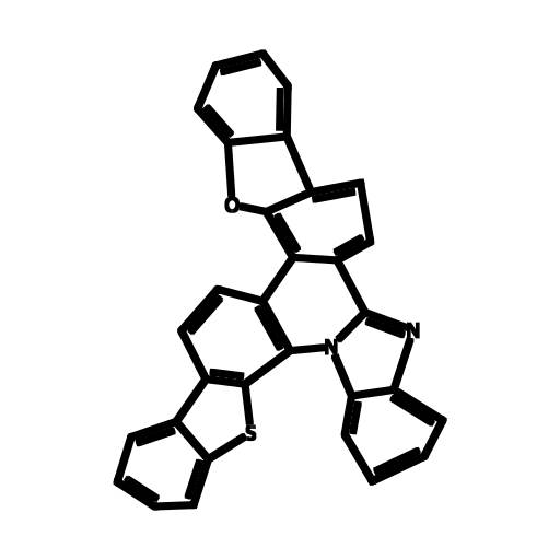 c1ccc2c(c1)nc1c3ccc4c5ccccc5oc4c3c3ccc4c5ccccc5sc4c3n21